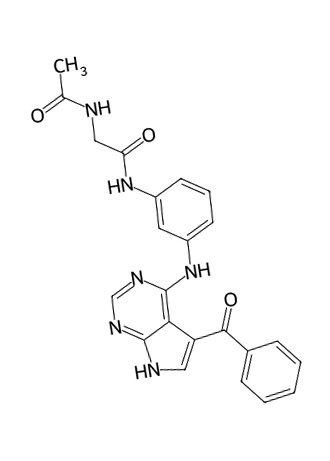 CC(=O)NCC(=O)Nc1cccc(Nc2ncnc3[nH]cc(C(=O)c4ccccc4)c23)c1